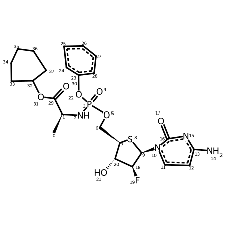 C[C@H](NP(=O)(OC[C@H]1S[C@@H](n2ccc(N)nc2=O)[C@@H](F)[C@@H]1O)Oc1ccccc1)C(=O)OC1CCCCC1